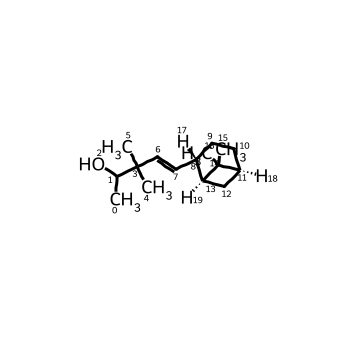 CC(O)C(C)(C)/C=C/[C@@H]1CC[C@H]2C[C@@H]1C2(C)C